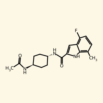 CC(=O)N[C@H]1CC[C@H](NC(=O)c2cc3c(F)ccc(C)c3[nH]2)CC1